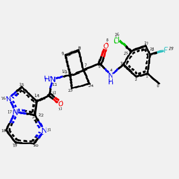 Cc1cc(NC(=O)C23CCC2(NC(=O)c2cnn4cccnc24)CC3)c(Cl)cc1F